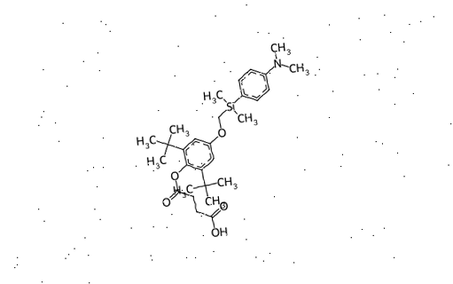 CN(C)c1ccc([Si](C)(C)COc2cc(C(C)(C)C)c(OC(=O)CCC(=O)O)c(C(C)(C)C)c2)cc1